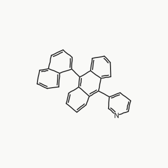 c1cncc(-c2c3ccccc3c(-c3cccc4ccccc34)c3ccccc23)c1